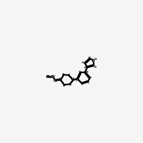 CON=C1CC[C](c2cccc(-c3ccoc3)c2)CC1